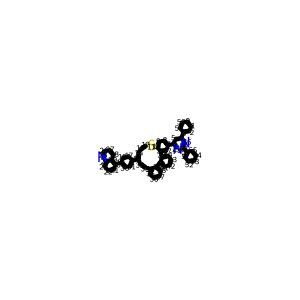 c1ccc(-c2cc(-c3ccc4scccc(-c5ccc(-c6cccc7ncccc67)cc5)ccc5ccccc5c5ccccc5c4c3)nc(-c3ccccc3)n2)cc1